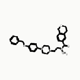 CN(CCN1CCN(c2ccc(OCc3ccccc3)cc2)CC1)C(=O)c1ccc2c(c1)CCOC2